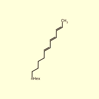 CC=C/C=[C]/C=CCCCCCCCCCC